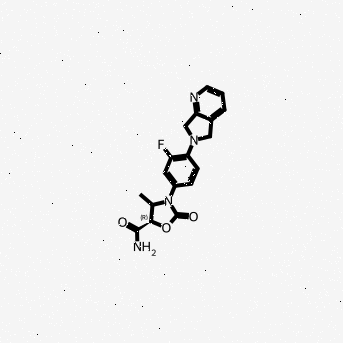 CC1[C@H](C(N)=O)OC(=O)N1c1ccc(N2Cc3cccnc3C2)c(F)c1